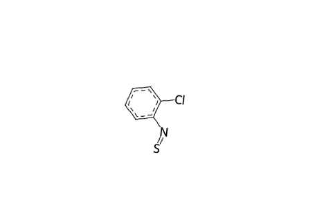 S=Nc1ccccc1Cl